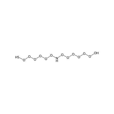 OOOOOOONOOOOOOS